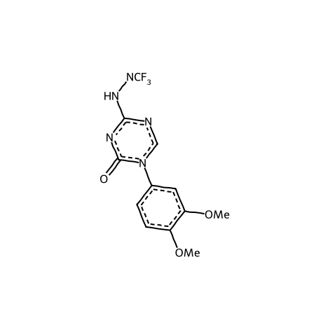 COc1ccc(-n2cnc(NNC(F)(F)F)nc2=O)cc1OC